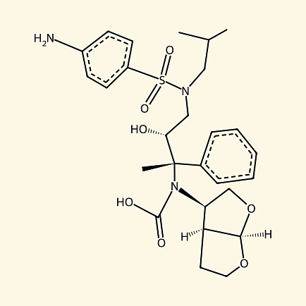 CC(C)CN(C[C@@H](O)[C@](C)(c1ccccc1)N(C(=O)O)[C@H]1CO[C@H]2OCC[C@H]21)S(=O)(=O)c1ccc(N)cc1